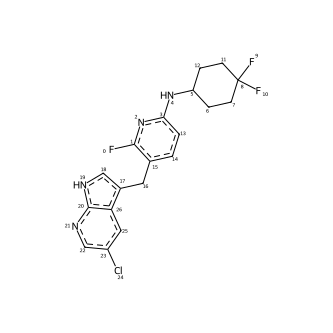 Fc1nc(NC2CCC(F)(F)CC2)ccc1Cc1c[nH]c2ncc(Cl)cc12